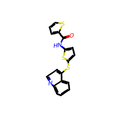 O=C(Nc1ccc(Sc2ccnc3ccccc23)s1)c1cccs1